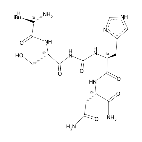 CC[C@H](C)[C@H](N)C(=O)N[C@@H](CO)C(=O)NC(=O)N[C@@H](Cc1c[nH]cn1)C(=O)N[C@@H](CC(N)=O)C(N)=O